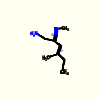 CC/C(C)=C/C(CN)=N\C